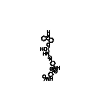 CC(=O)Nc1ccc(S(=O)(=O)Nc2ccc(N3CC(NC[C@H](O)COc4cccc5[nH]c6ccccc6c45)C3)cc2)cc1